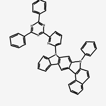 c1ccc(-c2nc(-c3ccccc3)nc(-c3cccc(-n4c5ccccc5c5cc6c7c8ccccc8ccc7n(-c7ccccc7)c6cc54)n3)n2)cc1